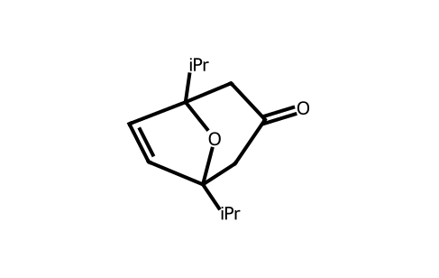 CC(C)C12C=CC(C(C)C)(CC(=O)C1)O2